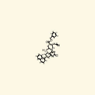 CC1CN(C(=O)OCc2ccccc2)[C@@H](CC#N)CN1c1nc(Cl)nc2c1CCN(c1cccc3ccccc13)C2